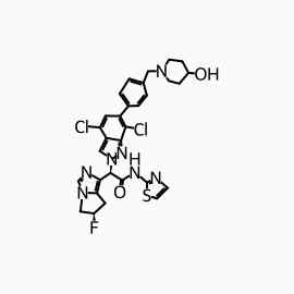 O=C(Nc1nccs1)[C@@H](c1ncn2c1C[C@@H](F)C2)n1cc2c(Cl)cc(-c3ccc(CN4CCC(O)CC4)cc3)c(Cl)c2n1